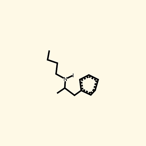 CCCCN(I)C(C)Cc1ccccc1